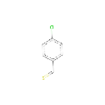 S=Cc1ccc(Cl)cc1